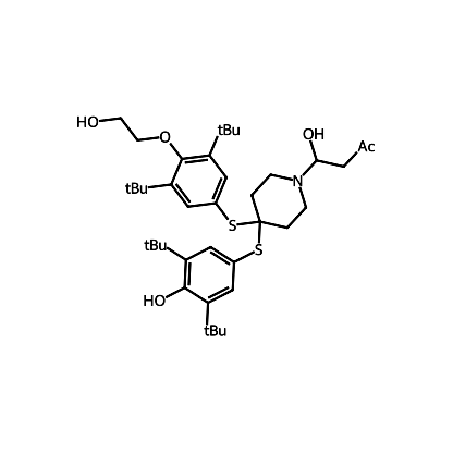 CC(=O)CC(O)N1CCC(Sc2cc(C(C)(C)C)c(O)c(C(C)(C)C)c2)(Sc2cc(C(C)(C)C)c(OCCO)c(C(C)(C)C)c2)CC1